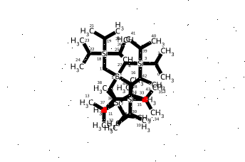 CC(C)[Si](C[B-](C[Si](C(C)C)(C(C)C)C(C)C)(C[Si](C(C)C)(C(C)C)C(C)C)C[Si](C(C)C)(C(C)C)C(C)C)(C(C)C)C(C)C